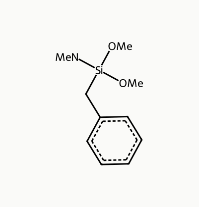 CN[Si](Cc1ccccc1)(OC)OC